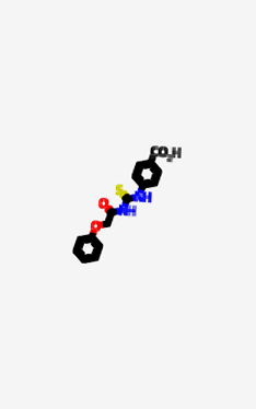 O=C(COc1ccccc1)NC(=S)Nc1ccc(C(=O)O)cc1